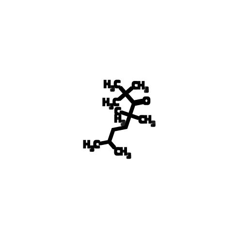 CC(C)CCC(C)(C)C(=O)C(C)(C)C